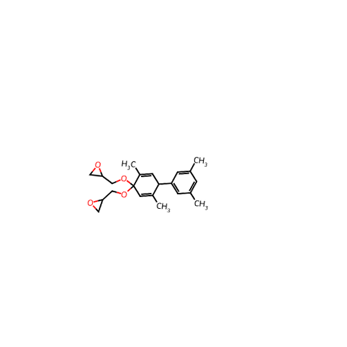 CC1=CC(OCC2CO2)(OCC2CO2)C(C)=CC1c1cc(C)cc(C)c1